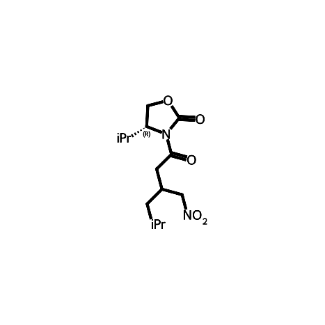 CC(C)CC(CC(=O)N1C(=O)OC[C@H]1C(C)C)C[N+](=O)[O-]